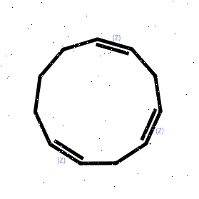 [C]1=C\C/C=C\CCC/C=C\C/1